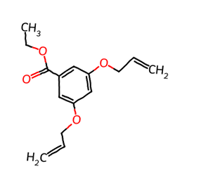 C=CCOc1cc(OCC=C)cc(C(=O)OCC)c1